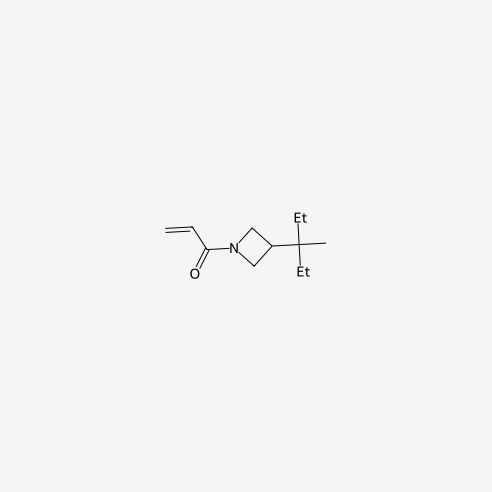 C=CC(=O)N1CC(C(C)(CC)CC)C1